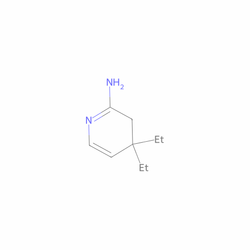 CCC1(CC)C=CN=C(N)C1